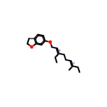 CC/C(C)=C/CC/C(=C/COc1ccc2c(c1)OCC2)CC